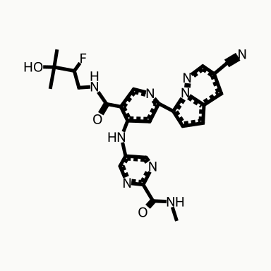 CNC(=O)c1ncc(Nc2cc(-c3ccc4cc(C#N)cnn34)ncc2C(=O)NCC(F)C(C)(C)O)cn1